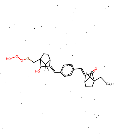 CC1(C)C2CCC1(CS(=O)(=O)O)C(=O)/C2=C/c1ccc(/C=C2\C3CCC(CSOOO)(C2O)C3(C)C)cc1